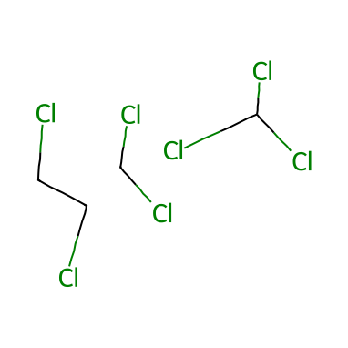 ClC(Cl)Cl.ClCCCl.ClCCl